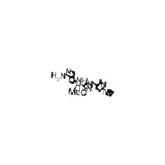 COc1nn(Cc2ccc(N3CC4C5C4C53)nc2C)cc1C(=O)N[C@@H]1CCc2c1ccnc2N